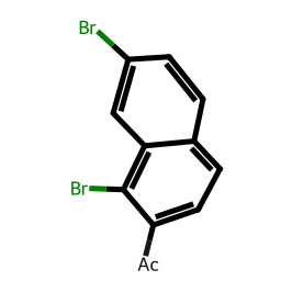 CC(=O)c1ccc2ccc(Br)cc2c1Br